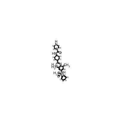 C/C(=N\C1C(N)=CC(N[SH](C)(=O)c2ccccc2)=CC1C)C1CCC(NC(=O)N2CCNCC2)CC1